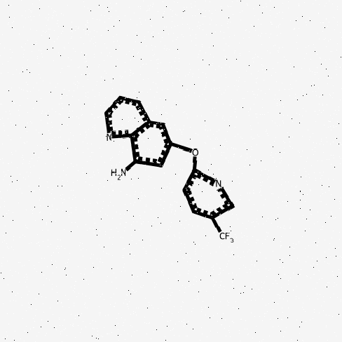 Nc1cc(Oc2ccc(C(F)(F)F)cn2)cc2cccnc12